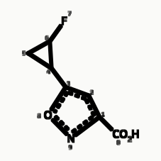 O=C(O)c1cc(C2CC2F)on1